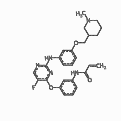 C=CC(=O)Nc1cccc(Oc2nc(Nc3cccc(OCC4CCCN(C)C4)c3)ncc2F)c1